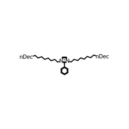 CCCCCCCCCCCCCCCCCCn1cc[n+](CCCCCCCCCCCCCCCCCC)c1-c1ccccc1